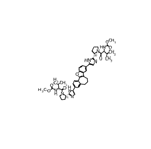 COC(=O)NC(C(=O)N1CCC[C@H]1c1ncc(-c2ccc3oc4c(c3c2)CCCc2cc(-c3cnc([C@@H]5CCCN5C(=O)[C@@H](NC(=O)OC)C(C)C)[nH]3)ccc2-4)[nH]1)C(C)C